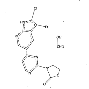 CCc1c(Cl)[nH]c2ncc(-c3ccnc(N4CCOC4=O)n3)cc12.O=CO